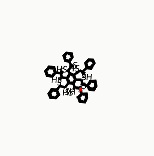 S=C(c1ccccc1)C(S)c1c(C(S)C(=S)c2ccccc2)c(C(S)C(=S)c2ccccc2)c(C(S)C(=S)c2ccccc2)c(C(S)C(=S)c2ccccc2)c1C(S)C(=S)c1ccccc1